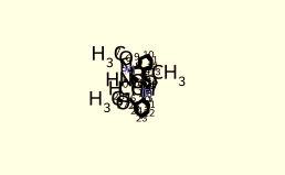 CNC(=O)/C(=N/OC)c1cccc(C)c1CO/N=C(\C)c1ccccc1COC